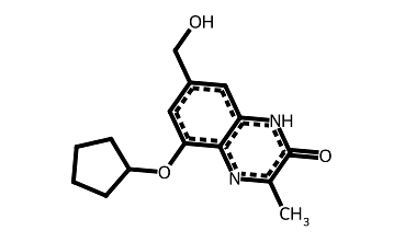 Cc1nc2c(OC3CCCC3)cc(CO)cc2[nH]c1=O